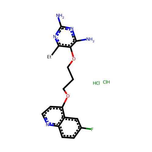 CCc1nc(N)nc(N)c1OCCCOc1ccnc2ccc(F)cc12.Cl.Cl